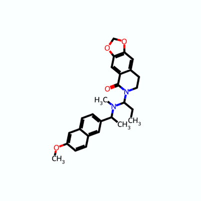 CCC(N1CCc2cc3c(cc2C1=O)OCO3)N(C)C(C)c1ccc2cc(OC)ccc2c1